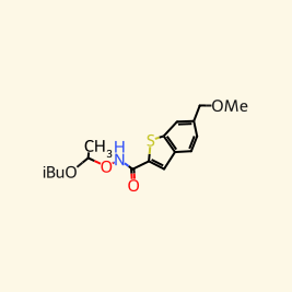 COCc1ccc2cc(C(=O)NOC(C)OCC(C)C)sc2c1